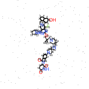 CCc1cccc2cc(O)cc(-c3ncc4c(N5CC6CCC(C5)N6)nc(OCC5(CN6CCC(C)(CN7CC8(CCN(c9ccc%10c(c9)CN([C@H]9CCC(=O)NC9=O)C%10=O)CC8)C7)CC6)CC5)nc4c3F)c12